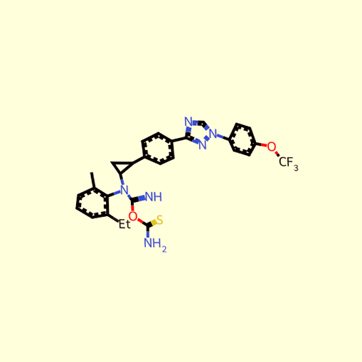 CCc1cccc(C)c1N(C(=N)OC(N)=S)C1CC1c1ccc(-c2ncn(-c3ccc(OC(F)(F)F)cc3)n2)cc1